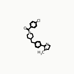 CN1CCN=C1c1ccc(CC2CCN(C(=O)c3ccc(Cl)cc3)CC2)cc1